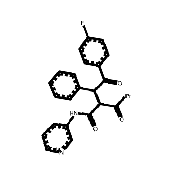 CC(C)C(=O)C(C(=O)Nc1cccnc1)C(C(=O)c1ccc(F)cc1)c1ccccc1